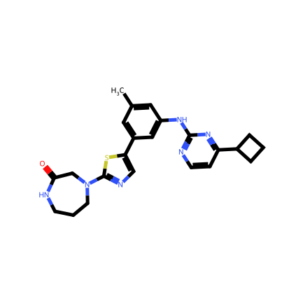 Cc1cc(Nc2nccc(C3CCC3)n2)cc(-c2cnc(N3CCCNC(=O)C3)s2)c1